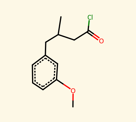 COc1cccc(CC(C)CC(=O)Cl)c1